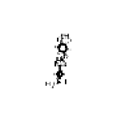 CNC12CC(c3nnc(Oc4ccc(OC)cc4)o3)(C1)C2